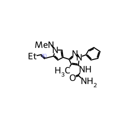 CC/C=C/c1cc(-c2nn(-c3ccccc3)c(NC(N)=O)c2C)cn1NC